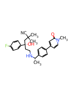 C[C@H](NCC[C@](O)(CC(C)(C)C#N)c1ccc(F)cc1)c1ccc(-c2ccn(C)c(=O)c2)cc1